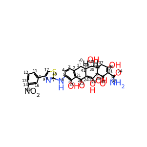 C[C@H]1c2ccc(Nc3nc(-c4cccc([N+](=O)[O-])c4)cs3)c(O)c2C(=O)C2=C(O)[C@]3(O)C(=O)C(C(N)=O)=C(O)C[C@@H]3[C@@H](O)[C@@H]21